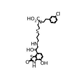 O=C(O)N(CCSCCCNC[C@@H](O)c1ccc(O)c2[nH]c(=O)sc12)CCc1cccc(Cl)c1